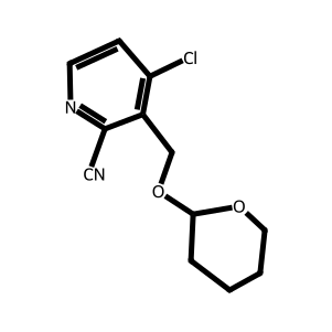 N#Cc1nccc(Cl)c1COC1CCCCO1